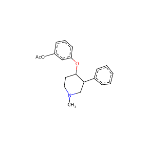 CC(=O)Oc1cccc(OC2CCN(C)CC2c2ccccc2)c1